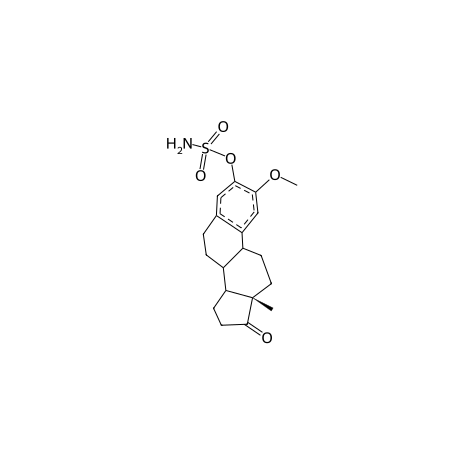 COc1cc2c(cc1OS(N)(=O)=O)CCC1C2CC[C@]2(C)C(=O)CCC12